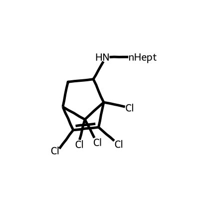 CCCCCCCNC1CC2C(Cl)=C(Cl)C1(Cl)C2(Cl)Cl